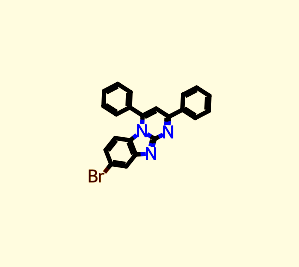 Brc1ccc2c(c1)nc1nc(-c3ccccc3)cc(-c3ccccc3)n12